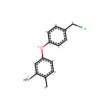 CCCc1cc(Oc2ccc(CF)cc2)ccc1C